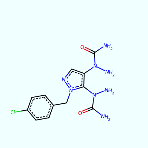 NC(=O)N(N)c1cnn(Cc2ccc(Cl)cc2)c1N(N)C(N)=O